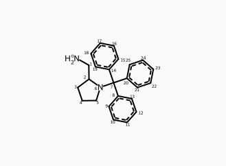 NCC1CCCN1C(c1ccccc1)(c1ccccc1)c1ccccc1